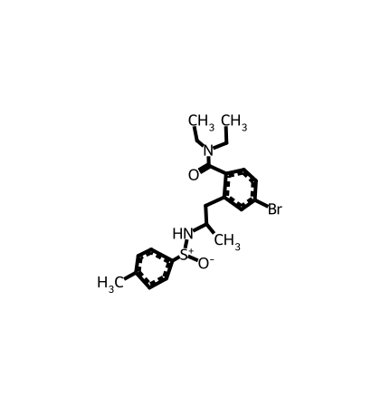 CCN(CC)C(=O)c1ccc(Br)cc1CC(C)N[S+]([O-])c1ccc(C)cc1